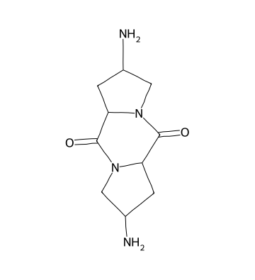 NC1CC2C(=O)N3CC(N)CC3C(=O)N2C1